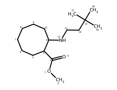 COC(=O)C1CCCCCCC1NCCC(C)(C)C